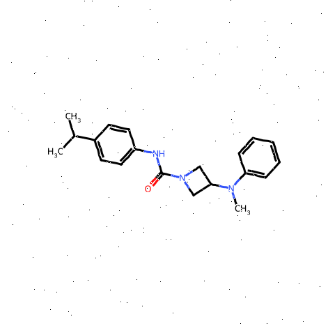 CC(C)c1ccc(NC(=O)N2CC(N(C)c3ccccc3)C2)cc1